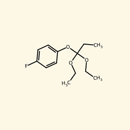 CCOC(CC)(OCC)Oc1ccc(F)cc1